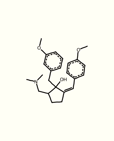 COc1ccc(C=C2CCC(CN(C)C)C2(O)Cc2cccc(OC)c2)cc1